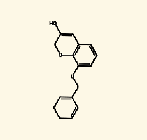 OC1=Cc2cccc(OCC3=CCCC=C3)c2OC1